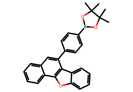 CC1(C)OB(c2ccc(-c3cc4ccccc4c4oc5ccccc5c34)cc2)OC1(C)C